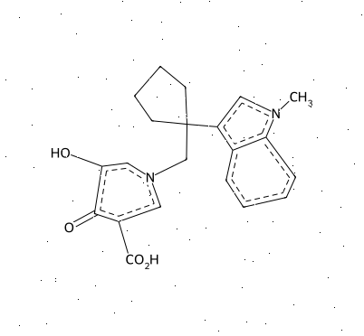 Cn1cc(C2(Cn3cc(O)c(=O)c(C(=O)O)c3)CCCC2)c2ccccc21